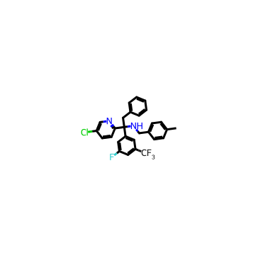 Cc1ccc(CNC(Cc2ccccc2)(c2cc(F)cc(C(F)(F)F)c2)c2ccc(Cl)cn2)cc1